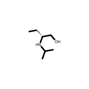 CC[C@H](CO)NC(C)C